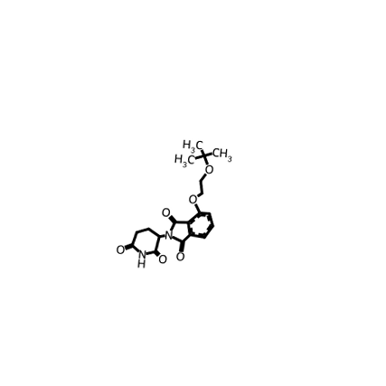 CC(C)(C)OCCOc1cccc2c1C(=O)N(C1CCC(=O)NC1=O)C2=O